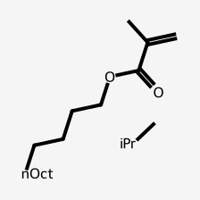 C=C(C)C(=O)OCCCCCCCCCCCC.CC(C)C